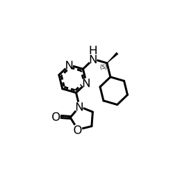 C[C@H](Nc1nccc(N2CCOC2=O)n1)C1CCCCC1